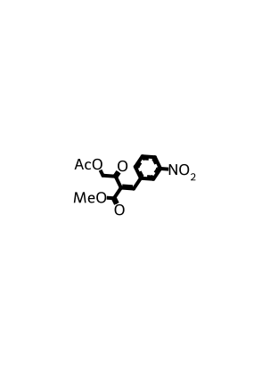 COC(=O)C(=Cc1cccc([N+](=O)[O-])c1)C(=O)COC(C)=O